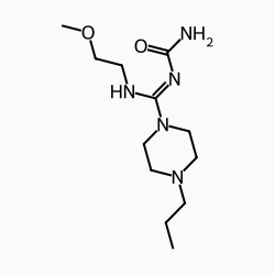 CCCN1CCN(/C(=N/C(N)=O)NCCOC)CC1